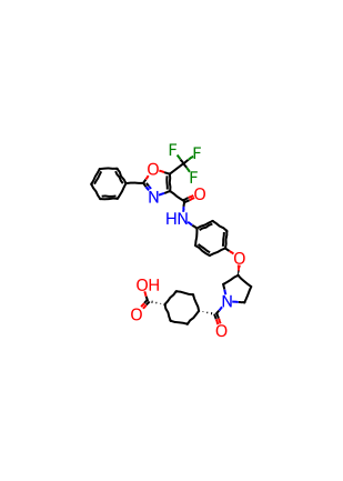 O=C(Nc1ccc(O[C@H]2CCN(C(=O)[C@H]3CC[C@@H](C(=O)O)CC3)C2)cc1)c1nc(-c2ccccc2)oc1C(F)(F)F